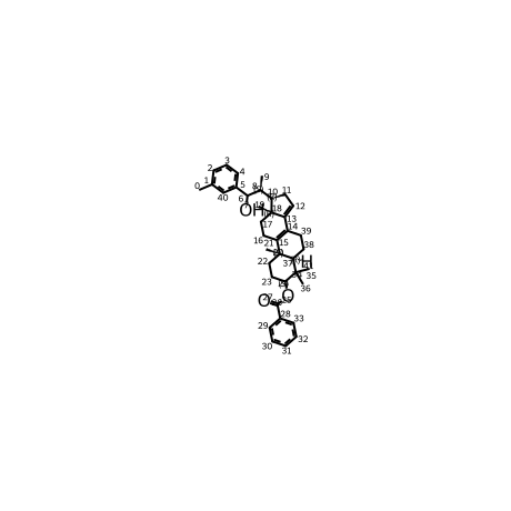 Cc1cccc(C(O)[C@@H](C)[C@H]2CC=C3C4=C(CC[C@@]32C)[C@@]2(C)CC[C@H](OC(=O)c3ccccc3)C(C)(C)[C@@H]2CC4)c1